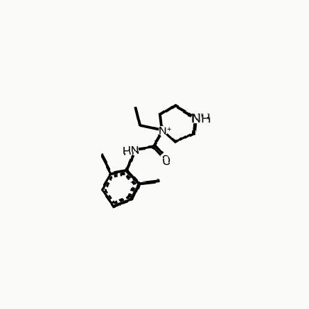 CC[N+]1(C(=O)Nc2c(C)cccc2C)CCNCC1